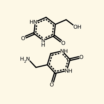 NCc1c[nH]c(=O)[nH]c1=O.O=c1[nH]cc(CO)c(=O)[nH]1